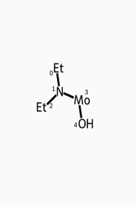 CC[N](CC)[Mo][OH]